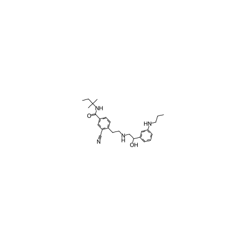 CCCNc1cccc(C(O)CNCCc2ccc(C(=O)NC(C)(C)CC)cc2C#N)c1